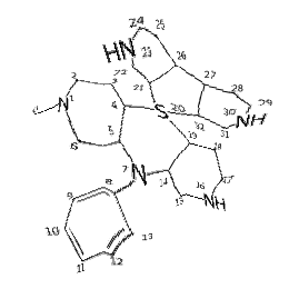 CN1CCC2C(C1)N(c1ccccc1)C1CNCCC1S21C2CNCCC2C2CCNCC21